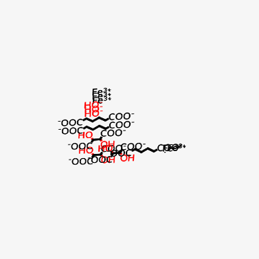 O=C([O-])C(O)C(O)C(=O)[O-].O=C([O-])C(O)C(O)C(=O)[O-].O=C([O-])C(O)C(O)C(=O)[O-].O=C([O-])CCCCC(=O)[O-].O=C([O-])CCCCC(=O)[O-].O=C([O-])CCCCC(=O)[O-].[Fe+3].[Fe+3].[Fe+3].[Fe+3].[Fe+3].[OH-].[OH-].[OH-]